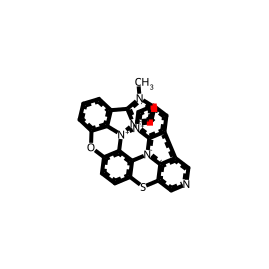 Cn1c2[n+](c3ccccc31)[N+]13c4c(cccc4-2)Oc2ccc4c(c21)-n1c2c(cncc2c2ccc[n+]3c21)S4